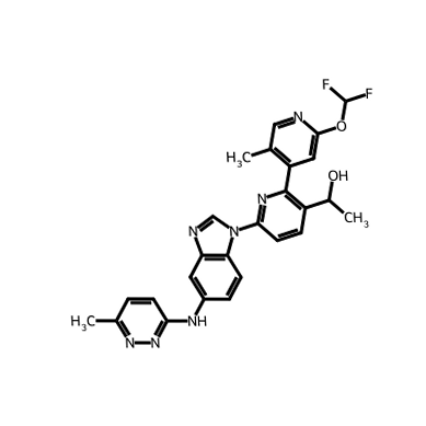 Cc1ccc(Nc2ccc3c(c2)ncn3-c2ccc(C(C)O)c(-c3cc(OC(F)F)ncc3C)n2)nn1